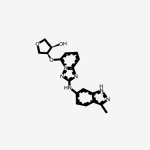 Cc1n[nH]c2cc(Nc3nc4cccc(O[C@H]5COC[C@H]5O)n4n3)ccc12